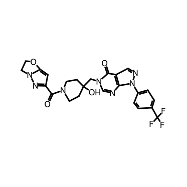 O=C(c1cc2n(n1)CCO2)N1CCC(O)(Cn2cnc3c(cnn3-c3ccc(C(F)(F)F)cc3)c2=O)CC1